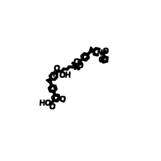 COc1cc(C(=O)O)cc(-c2ccc(C3CC34CCN(C(=O)C(O)CCCCC3(C)OB(c5ccc(C6CC67CCN(C(=O)C6CCCO6)CC7)cc5)OC3(C)C)CC4)cc2)c1